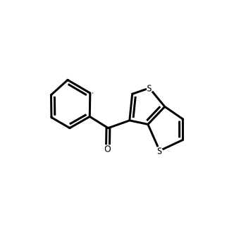 O=C(c1[c]cccc1)c1csc2ccsc12